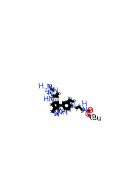 CC(C)(C)OC(=O)NCCCn1ccc2cc(-c3cc(Nc4ccnc(N)n4)cc4cn[nH]c34)ccc21